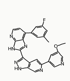 COc1cncc(-c2cc3c(-c4nc5c(-c6cc(C)cc(F)c6)ccnc5[nH]4)n[nH]c3cn2)c1